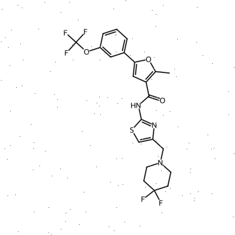 Cc1oc(-c2cccc(OC(F)(F)F)c2)cc1C(=O)Nc1nc(CN2CCC(F)(F)CC2)cs1